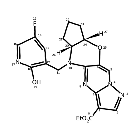 CCOC(=O)c1cnn2cc3c(nc12)N(Cc1cc(F)cnc1O)[C@@H]1CCC[C@@H]1O3